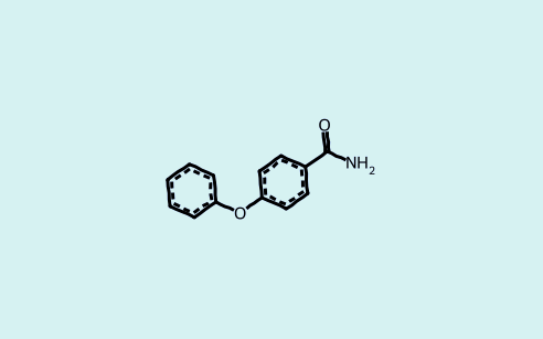 NC(=O)c1ccc(Oc2ccccc2)cc1